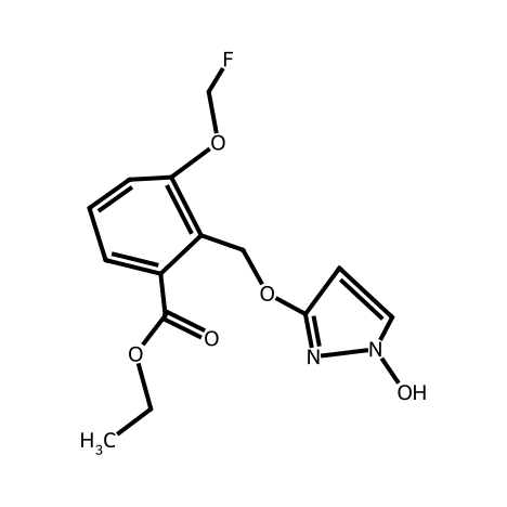 CCOC(=O)c1cccc(OCF)c1COc1ccn(O)n1